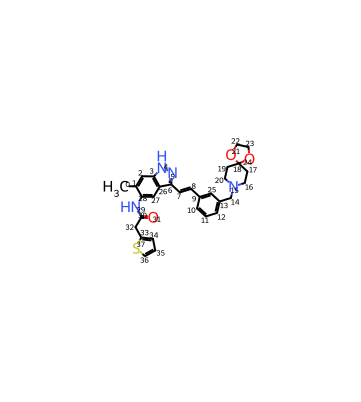 Cc1cc2[nH]nc(/C=C/c3cccc(CN4CCC5(CC4)OCCO5)c3)c2cc1NC(=O)Cc1cccs1